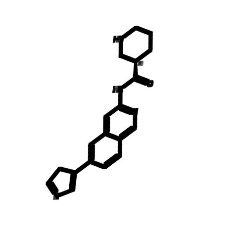 O=C(Nc1cc2cc(C3=CN=CC3)ccc2cn1)[C@@H]1CCCNC1